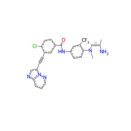 C/C(N)=C/N(C)c1ccc(NC(=O)c2ccc(Cl)c(C#Cc3cnc4cccnn34)c2)cc1C(F)(F)F